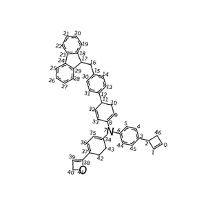 C1=CC(c2ccc(N(C3=CCC(c4ccc(CC5c6ccccc6-c6ccccc65)cc4)C=C3)C3=CC=C(C4=CCO4)CC3)cc2)C1